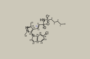 CCCCCS(=O)(=O)NC(=O)/C=C/c1c(C)nn(C)c1-n1ccc2ccc(Cl)cc21